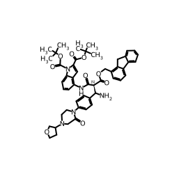 CC(C)(C)OC(=O)c1cc2c(NC(=O)[C@@H](C(=O)OCc3cccc4c3Cc3ccccc3-4)C(N)c3ccc(N4CCN(C5CCOC5)CC4=O)cc3)cccc2n1C(=O)OC(C)(C)C